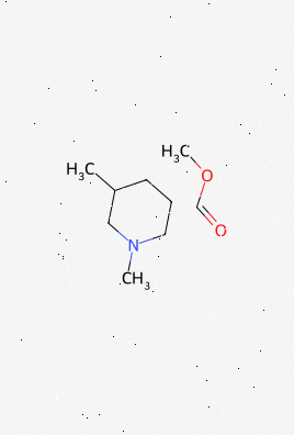 CC1CCCN(C)C1.COC=O